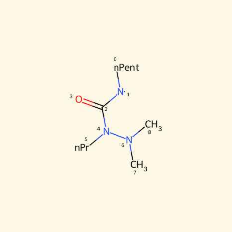 CCCCC[N]C(=O)N(CCC)N(C)C